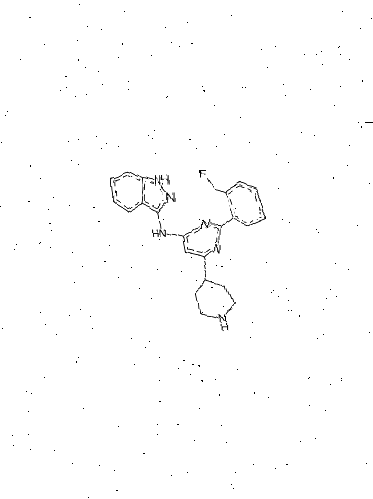 FCc1ccccc1-c1nc(Nc2n[nH]c3ccccc23)cc(C2CCNCC2)n1